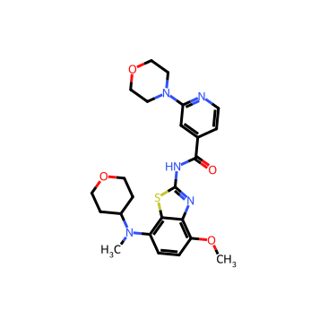 COc1ccc(N(C)C2CCOCC2)c2sc(NC(=O)c3ccnc(N4CCOCC4)c3)nc12